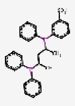 CC(CC(C)P(c1ccccc1)c1cccc(S(=O)(=O)O)c1)P(c1ccccc1)c1ccccc1